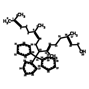 CC(C)=CCCC(C)=CCC(C(C)=CCCC(C)=CCO)C(c1ccccc1)(c1ccccc1)c1ccccc1